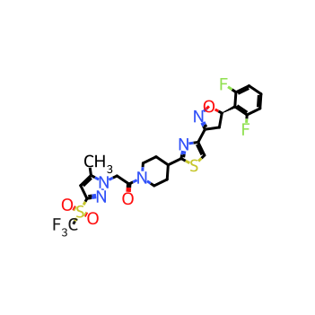 Cc1cc(S(=O)(=O)C(F)(F)F)nn1CC(=O)N1CCC(c2nc(C3=NO[C@@H](c4c(F)cccc4F)C3)cs2)CC1